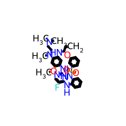 C=CC(=O)Nc1cc(Nc2ncc(F)c(Nc3ccccc3NS(=O)(=O)c3ccccc3)n2)c(OC)cc1N(C)CCN(C)C